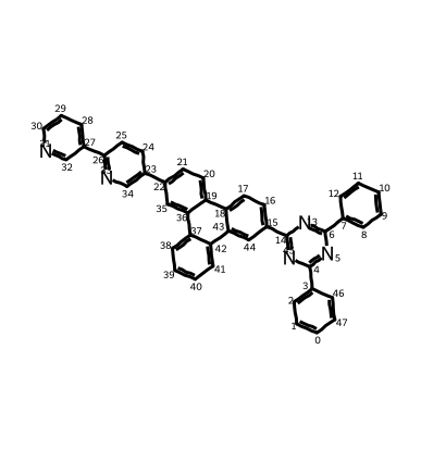 c1ccc(-c2nc(-c3ccccc3)nc(-c3ccc4c5ccc(-c6ccc(-c7cccnc7)nc6)cc5c5ccccc5c4c3)n2)cc1